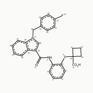 O=C(Nc1ccccc1SC1(C(=O)O)CCC1)c1cn(Cc2ccc(F)cc2)c2ccccc12